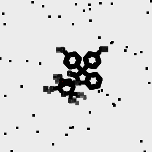 CC1(C)OC2(C)C(O)CC1CC2O.O=C1Nc2ccccc2C1(c1ccc(O)cc1)c1ccc(O)cc1